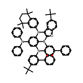 CC(C)(C)c1ccc(N2c3ccc(-c4ccccc4)cc3B3c4oc5ccc(C(C)(C)C)cc5c4N(c4ccc5c(c4)C(C)(C)CCC5(C)C)c4cc(N(c5ccccc5)c5ccccc5)cc2c43)c(-c2ccccc2)c1